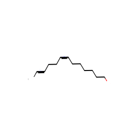 CCCC/C=C/CC/C=C\CCCCCCO